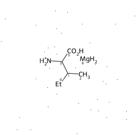 CCC(C)C(N)C(=O)O.[MgH2]